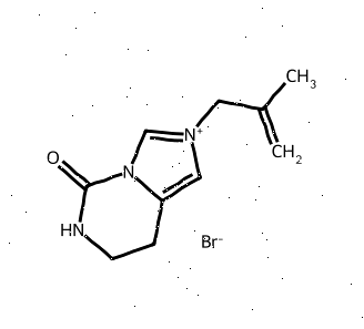 C=C(C)C[n+]1cc2n(c1)C(=O)NCC2.[Br-]